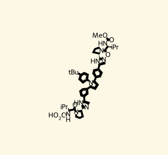 COC(=O)N[C@H](C(=O)N1CCC[C@H]1c1ncc(-c2ccc(-c3ccc(-c4cccc(-c5cnc([C@@H]6CCCN6C(=O)[C@@H](NC(=O)O)C(C)C)[nH]5)c4)n3-c3ccc(C(C)(C)C)cc3)cc2)[nH]1)C(C)C